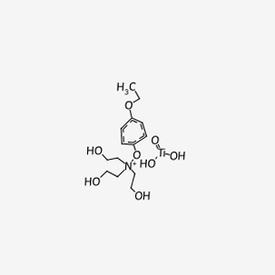 CCOc1ccc(O[N+](CCO)(CCO)CCO)cc1.[O]=[Ti]([OH])[OH]